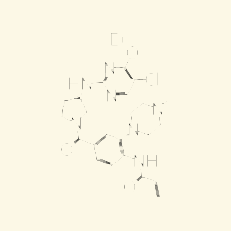 C=CC(=O)Nc1ccc(C(=O)N2CC[C@H](Nc3ncc(Cl)c(OCC)n3)C2)cc1N1CCN(C)CC1